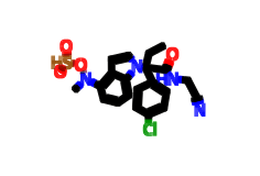 CCC(C(=O)NCC#N)(c1ccc(Cl)cc1)n1ccc2c(N(C)O[SH](=O)=O)cccc21